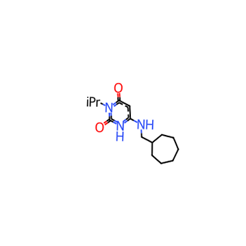 CC(C)n1c(=O)cc(NCC2CCCCCC2)[nH]c1=O